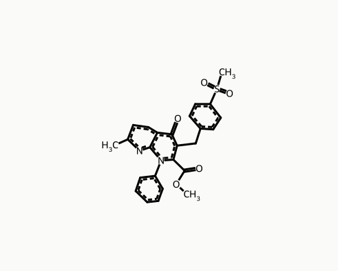 COC(=O)c1c(Cc2ccc(S(C)(=O)=O)cc2)c(=O)c2ccc(C)nc2n1-c1ccccc1